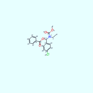 CCN(C(=O)OC)C(OC(=O)c1ccccc1)c1ccc(Cl)cc1